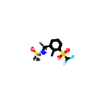 Cc1c([C@@H](C)N[S@@+]([O-])C(C)(C)C)cccc1S(=O)(=O)C(F)F